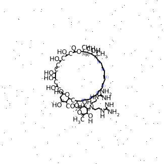 C[C@@H]1OC(=O)CC(O)CC(O)CCC(O)C(O)CC(O)CC2(O)C[C@H](O)C(C(=O)O)C(CC(O[C@@H]3O[C@H](C)C(O)[C@H](N(CCNC(=N)N)CCNC(=N)N)[C@@H]3O)/C=C/C=C/C=C/C=C/C=C/C=C/C=C/[C@H](C)C(O)[C@H]1C)O2